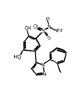 CCN(CC)S(=O)(=O)c1cc(-c2ccnn2-c2ccccc2C)c(O)cc1O